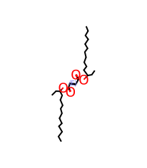 CCCCCCCCCCCC(CC)OC(=O)/C=C/C(=O)OC(CC)CCCCCCCCCCC